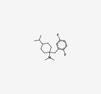 CC(C)C1CCC(Cc2cc(F)ccc2F)(N(C)C)CC1